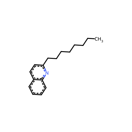 CCCCCCCCc1ccc2ccccc2n1